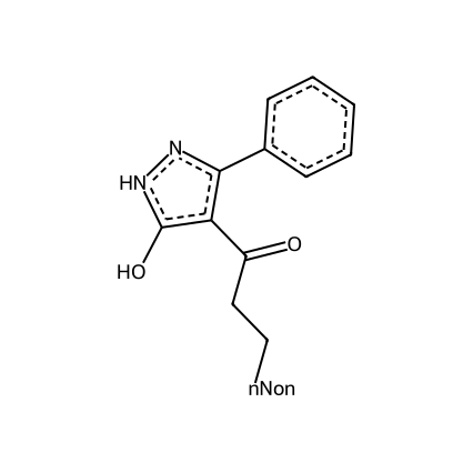 CCCCCCCCCCCC(=O)c1c(-c2ccccc2)n[nH]c1O